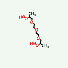 CC(COCCOCCOCC(C)OO)OO